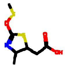 CSOC1=NC(C)C(CC(=O)O)S1